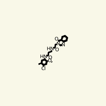 COc1cc(Cl)c(C)cc1NC(=O)CCNC(=O)Cn1cnc2ccccc2c1=O